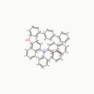 c1ccc(-c2ccc(-c3cccc4oc5c6ccccc6c(N(c6ccc7ccccc7c6)c6ccccc6-c6ccccc6)cc5c34)cc2)cc1